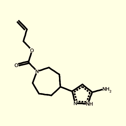 C=CCOC(=O)N1CCCC(c2cc(N)[nH]n2)CC1